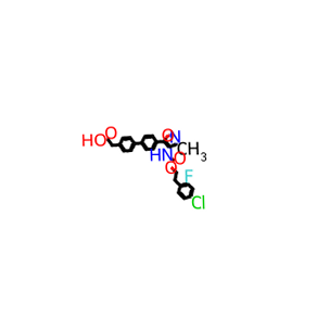 Cc1noc(-c2ccc(-c3ccc(CC(=O)O)cc3)cc2)c1NC(=O)OCCc1ccc(Cl)cc1F